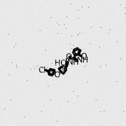 C[C@](O)(CN1CCC(Oc2ccc(Cl)cc2)CC1)NC(=O)c1c[nH]c(=O)c2ccccc12